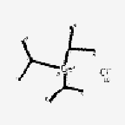 C[CH](C)[Ge+]([CH](C)C)[CH](C)C.[Cl-]